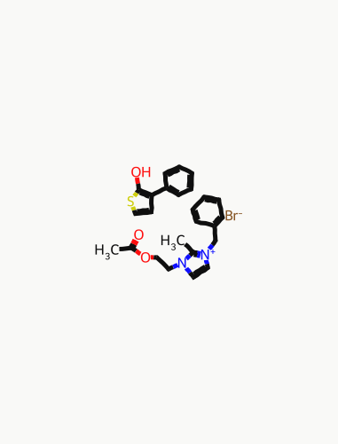 CC(=O)OCCn1cc[n+](Cc2ccccc2)c1C.Oc1sccc1-c1ccccc1.[Br-]